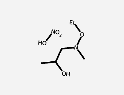 CCON(C)CC(C)O.O=[N+]([O-])O